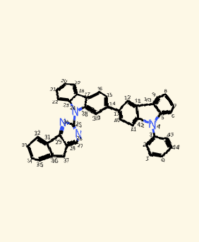 c1ccc(-n2c3ccccc3c3cc(-c4ccc5c6ccccc6n(-c6ncc7c(n6)-c6ccccc6C7)c5c4)ccc32)cc1